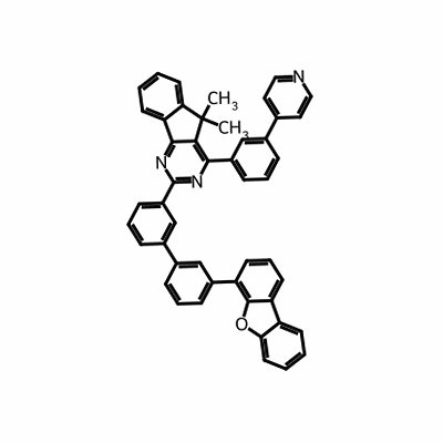 CC1(C)c2ccccc2-c2nc(-c3cccc(-c4cccc(-c5cccc6c5oc5ccccc56)c4)c3)nc(-c3cccc(-c4ccncc4)c3)c21